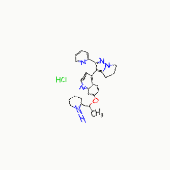 CC(Oc1ccc2c(-c3c(-c4ccccn4)nn4c3CCC4)ccnc2c1)C1CCCCN1.Cl